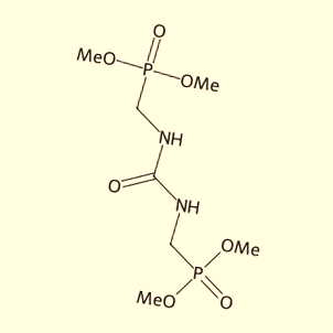 COP(=O)(CNC(=O)NCP(=O)(OC)OC)OC